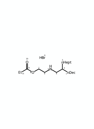 Br.CCCCCCCCCCC(CCCCCCC)CNCCOC(=O)CC